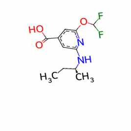 CC[C@H](C)Nc1cc(C(=O)O)cc(OC(F)F)n1